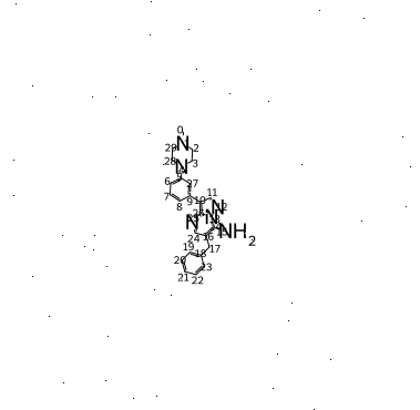 CN1CCN(c2cccc(-c3cnn4c(N)c(Cc5ccccc5)cnc34)c2)CC1